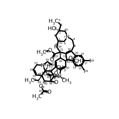 CC[C@]1(O)C[C@H]2CN(CCC3=C(Cc4cc(I)c(I)cc43)[C@@](C(=O)OC)(C3C=C4C(=CC3OC)N(C)[C@@]35O[C@]3(C(=O)OC)[C@H](OC(C)=O)[C@]3(CC)C=CCN6CC[C@]45[C@@H]63)C2)C1